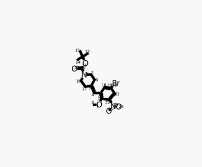 COc1c(C=C2CCN(C(=O)OC(C)(C)C)CC2)cc(Br)cc1[N+](=O)[O-]